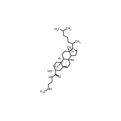 CNCCNC(=O)[C@@]1(O)CC[C@@]2(C)C(=CC[C@H]3[C@@H]4CC[C@H]([C@H](C)CCCC(C)C)[C@@]4(C)CC[C@@H]32)C1